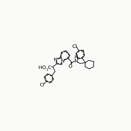 O=C(NCC1(c2ccc(Cl)cc2)CCCCC1)c1cccc2nc(C(Cc3ccc(Cl)cc3)C(=O)O)cn12